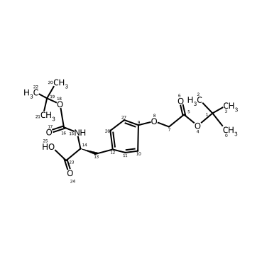 CC(C)(C)OC(=O)COc1ccc(C[C@H](NC(=O)OC(C)(C)C)C(=O)O)cc1